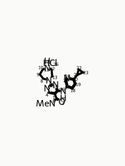 CNC(=O)c1cnc(N2CCCNCC2)nc1Nc1ccc(C2CC2)nc1.Cl